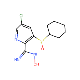 N=C(NO)c1ncc(Cl)cc1[S+]([O-])C1CCCCC1